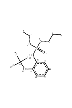 CCCSP(=O)(OCC)Oc1ccccc1OC(F)(F)F